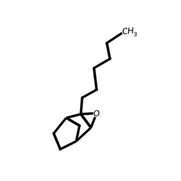 CCCCCCC12OC1C1CCC2C1